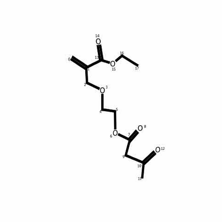 C=C(COCCOC(=O)CC(C)=O)C(=O)OCC